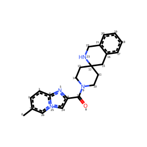 Cc1ccc2nc(C(=O)N3CCC4(CC3)Cc3ccccc3CN4)cn2c1